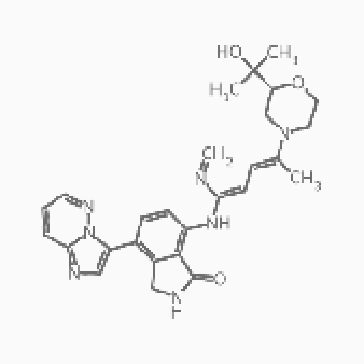 C=N/C(=C\C=C(/C)N1CCO[C@H](C(C)(C)O)C1)Nc1ccc(-c2cnc3cccnn23)c2c1C(=O)NC2